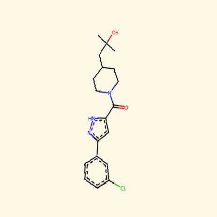 CC(C)(O)CC1CCN(C(=O)c2cc(-c3cccc(Cl)c3)n[nH]2)CC1